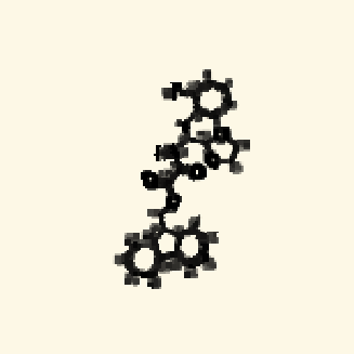 O=C(N[C@@H](Cc1ccccc1F)C1OCCO1)C(=O)OCC1c2ccccc2-c2ccccc21